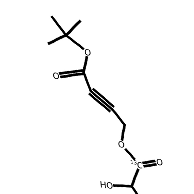 CC(O)[13C](=O)OCC#CC(=O)OC(C)(C)C